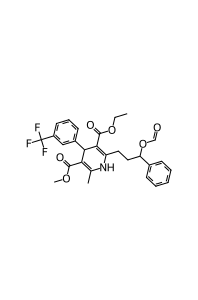 CCOC(=O)C1=C(CCC(OC=O)c2ccccc2)NC(C)=C(C(=O)OC)C1c1cccc(C(F)(F)F)c1